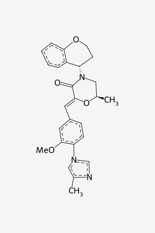 COc1cc(/C=C2\O[C@H](C)CN([C@H]3CCOc4ccccc43)C2=O)ccc1-n1cnc(C)c1